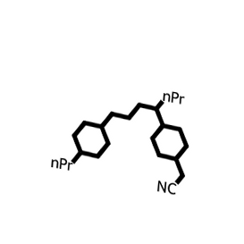 CCCC1CCC(CCCC(CCC)C2CCC(CC#N)CC2)CC1